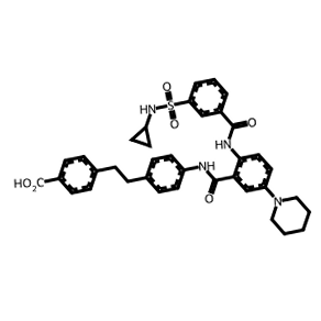 O=C(O)c1ccc(CCc2ccc(NC(=O)c3cc(N4CCCCC4)ccc3NC(=O)c3cccc(S(=O)(=O)NC4CC4)c3)cc2)cc1